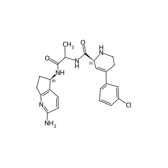 CC(NC(=O)[C@@H]1C=C(c2cccc(Cl)c2)CCN1)C(=O)N[C@@H]1CCc2nc(N)ccc21